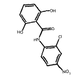 O=C(Nc1ccc([N+](=O)[O-])cc1Cl)c1c(O)cccc1O